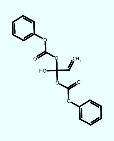 C=CC(O)(OC(=O)Oc1ccccc1)OC(=O)Oc1ccccc1